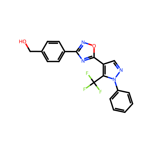 OCc1ccc(-c2noc(-c3cnn(-c4ccccc4)c3C(F)(F)F)n2)cc1